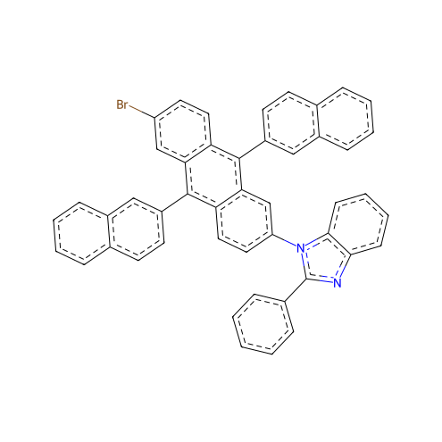 Brc1ccc2c(-c3ccc4ccccc4c3)c3cc(-n4c(-c5ccccc5)nc5ccccc54)ccc3c(-c3ccc4ccccc4c3)c2c1